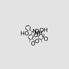 COc1cc(C(=O)O)c2c(c1C)OC(=O)c1c(C)cc(O)c(/C(=N\N)c3ccccc3)c1O2